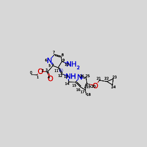 CCOC(=O)C1=NC=CC(N)/C1=C\NCc1cc(C)c(OCC2CC2)cn1